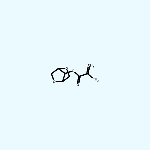 C=C(C)C(=O)OC1C2COC1CO2